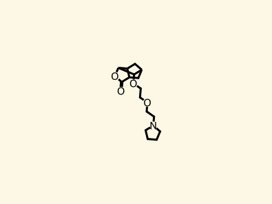 O=C1OC2C3CC(CC13)C2OCCOCCN1CCCC1